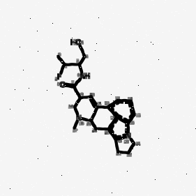 CC(F)C(CO)NC(=O)C1C=C2c3cccc4c3c(c3n4CCC3)CC2N(C)C1